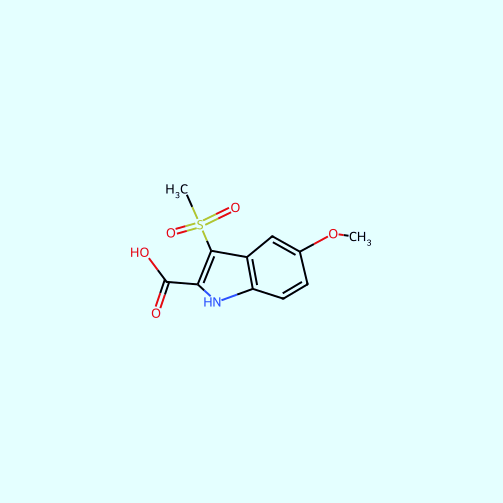 COc1ccc2[nH]c(C(=O)O)c(S(C)(=O)=O)c2c1